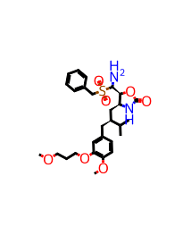 COCCCOc1cc(C[C@@H](C[C@@H]2NC(=O)O[C@@H]2C(N)S(=O)(=O)Cc2ccccc2)C(C)C)ccc1OC